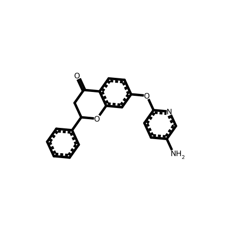 Nc1ccc(Oc2ccc3c(c2)OC(c2ccccc2)CC3=O)nc1